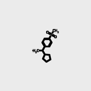 [CH2]C(c1ccc(S(C)(=O)=O)cc1)C1CCCC1